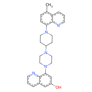 Cc1ccc(N2CCC(N3CCN(c4cc(O)cc5cccnc45)CC3)CC2)c2ncccc12